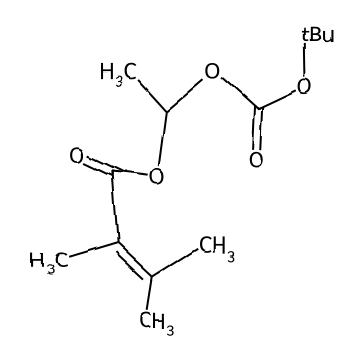 CC(C)=C(C)C(=O)OC(C)OC(=O)OC(C)(C)C